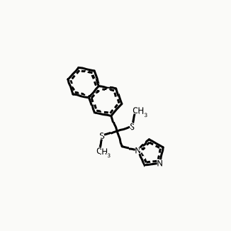 CSC(Cn1ccnc1)(SC)c1ccc2ccccc2c1